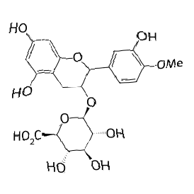 COc1ccc(C2Oc3cc(O)cc(O)c3CC2O[C@@H]2O[C@H](C(=O)O)[C@@H](O)[C@H](O)[C@H]2O)cc1O